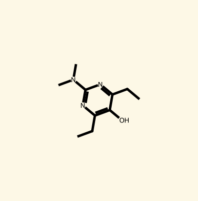 CCc1nc(N(C)C)nc(CC)c1O